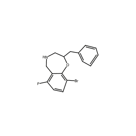 Fc1ccc(Br)c2c1CNCC(Cc1ccccc1)O2